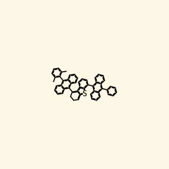 Cc1cccc(C)c1-c1c2ccccc2c(C2=c3c(sc4c(-c5c6ccccc6c(-c6ccccc6)c6ccccc56)cccc34)=CCC2)c2ccccc12